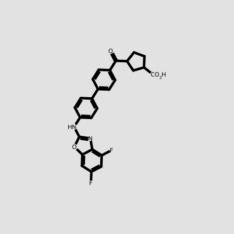 O=C(O)C1CCC(C(=O)c2ccc(-c3ccc(Nc4nc5c(F)cc(F)cc5o4)cc3)cc2)C1